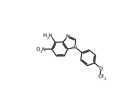 Nc1c([N+](=O)[O-])ccc2c1ncn2-c1ccc(OC(F)(F)F)cc1